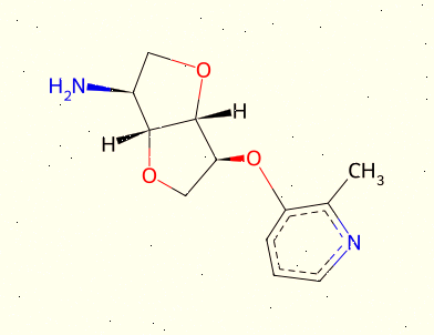 Cc1ncccc1O[C@H]1CO[C@H]2[C@@H]1OC[C@@H]2N